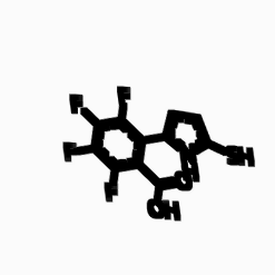 O=C(O)c1c(F)c(F)c(F)c(F)c1-c1ccc(S)[nH]1